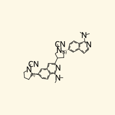 CN(C)c1nccc2cc([C@@H]3CC(c4cc5cc([C@H]6CCCN6C#N)ccc5c(N(C)C)n4)CN3C#N)ccc12